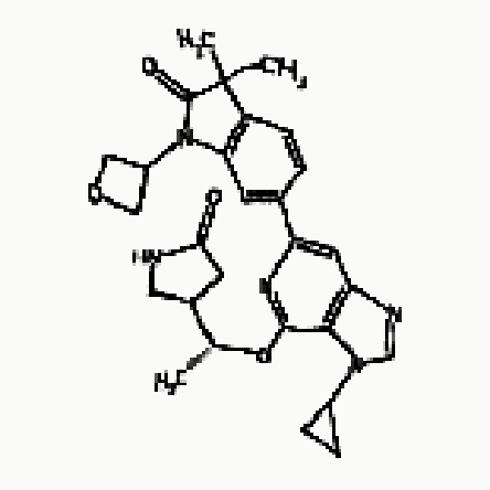 C[C@@H](Oc1nc(-c2ccc3c(c2)N(C2COC2)C(=O)C3(C)C)cc2ncn(C3CC3)c12)[C@H]1CNC(=O)C1